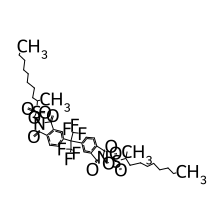 CCCCCCCCC(C)S(=O)(=O)ON1C(=O)c2ccc(C(c3ccc4c(c3)C(=O)N(OS(=O)(=O)C(C)CCCCCCCC)C4=O)(C(F)(F)F)C(F)(F)F)cc2C1=O